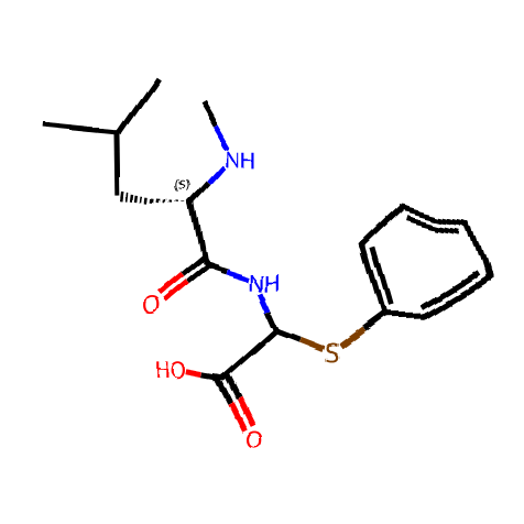 CN[C@@H](CC(C)C)C(=O)NC(Sc1ccccc1)C(=O)O